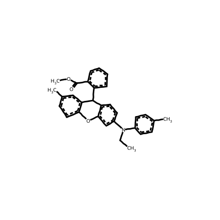 CCN(c1ccc(C)cc1)c1ccc2c(c1)Oc1ccc(C)cc1C2c1ccccc1C(=O)OC